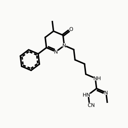 C/N=C(\NC#N)NCCCCN1N=C(c2ccccc2)CC(C)C1=O